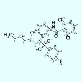 CCOCC1CN(S(=O)(=O)c2ccc(F)cc2)c2cc(NC(=O)c3c(Cl)cccc3Cl)ccc2O1